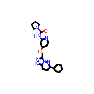 O=C(Nc1cc(OCc2nnc3ccc(-c4ccccc4)nn23)ccn1)N1CCCC1